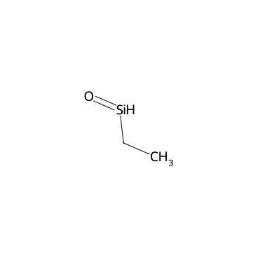 CC[SiH]=O